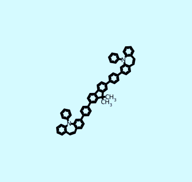 CC1(C)c2cc(-c3ccc(-c4ccc5c(c4)N(c4ccccc4)c4ccccc4C=C5)cc3)ccc2-c2ccc(-c3ccc(-c4ccc5c(c4)N(c4ccccc4)c4ccccc4C=C5)cc3)cc21